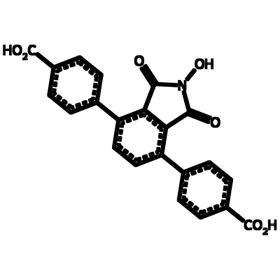 O=C(O)c1ccc(-c2ccc(-c3ccc(C(=O)O)cc3)c3c2C(=O)N(O)C3=O)cc1